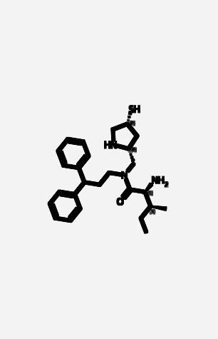 CC[C@H](C)[C@H](N)C(=O)N(CCC(c1ccccc1)c1ccccc1)C[C@H]1C[C@@H](S)CN1